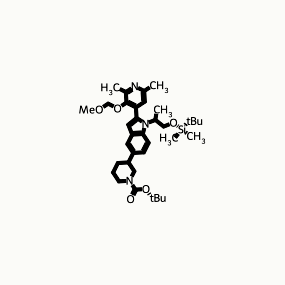 COCOc1c(-c2cc3cc(C4CCCN(C(=O)OC(C)(C)C)C4)ccc3n2C(C)CO[Si](C)(C)C(C)(C)C)cc(C)nc1C